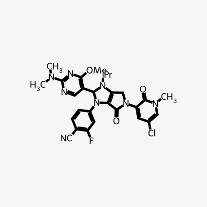 COc1nc(N(C)C)ncc1C1N(c2ccc(C#N)c(F)c2)C2=C(CN(c3cc(Cl)cn(C)c3=O)C2=O)N1C(C)C